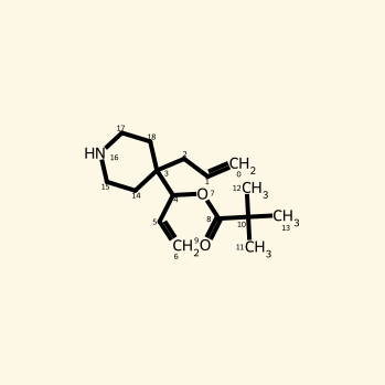 C=CCC1(C(C=C)OC(=O)C(C)(C)C)CCNCC1